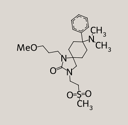 COCCCN1C(=O)N(CCS(C)(=O)=O)CC12CCC(c1ccccc1)(N(C)C)CC2